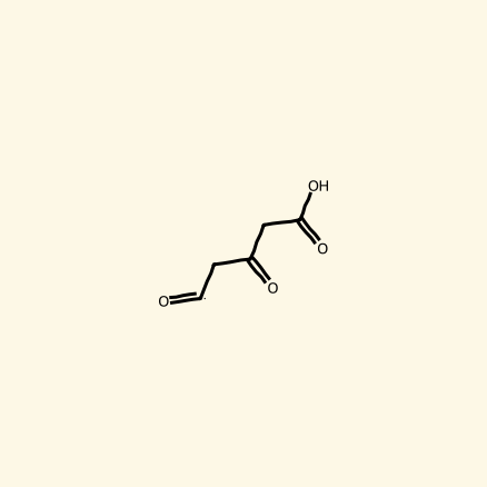 O=[C]CC(=O)CC(=O)O